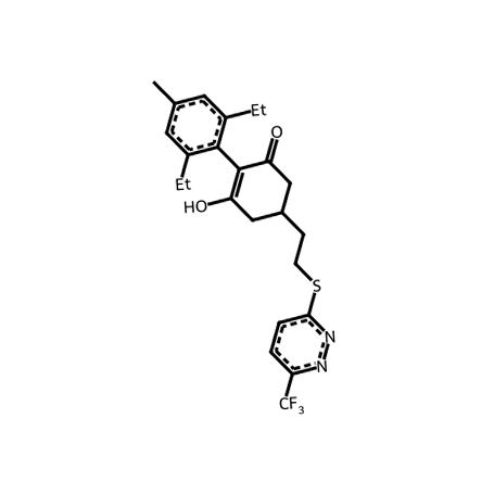 CCc1cc(C)cc(CC)c1C1=C(O)CC(CCSc2ccc(C(F)(F)F)nn2)CC1=O